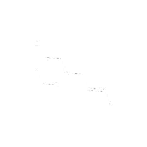 ClC=CCc1cccc(Cl)c1